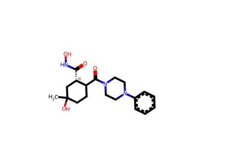 CC1(O)CCC(C(=O)N2CCN(c3ccccc3)CC2)[C@@H](C(=O)NO)C1